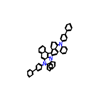 c1ccc(-c2ccc(N(c3ccccc3)c3cccc4c3ccc3c4c4c5ccccc5cc(N(c5ccccc5)c5ccc(-c6ccccc6)cc5)c4n3-c3ccccc3)cc2)cc1